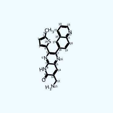 Cc1ccc(-c2nc3[nH]c(=O)c(CN)cc3nc2-c2ccc3ncccc3c2)s1